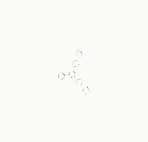 CC1(C)OB(c2ccc(-c3cc(-c4ccccc4)cc(-c4ccc(-c5ccccc5)cc4)c3)cc2)OC1(C)C